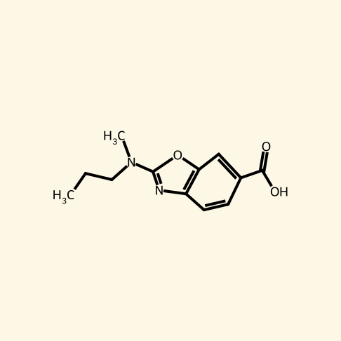 CCCN(C)c1nc2ccc(C(=O)O)cc2o1